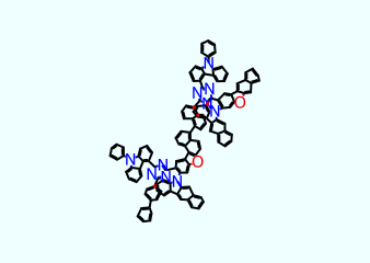 c1ccc(-c2ccc(-c3nc(-c4cc5c(cc4-n4c6ccccc6c6cc7ccccc7cc64)oc4ccc6c(-c7cccc8c(-c9nc(-c%10cc%11c(cc%10-n%10c%12ccccc%12c%12cc%13ccccc%13cc%12%10)oc%10cc%12ccccc%12cc%10%11)nc(-c%10cccc%11c%10c%10ccccc%10n%11-c%10ccccc%10)n9)cccc78)cccc6c45)nc(-c4cccc5c4c4ccccc4n5-c4ccccc4)n3)cc2)cc1